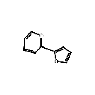 C1=COC(c2ccco2)C=C1